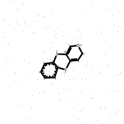 C1=C2Sc3ccccc3SC2=COC1